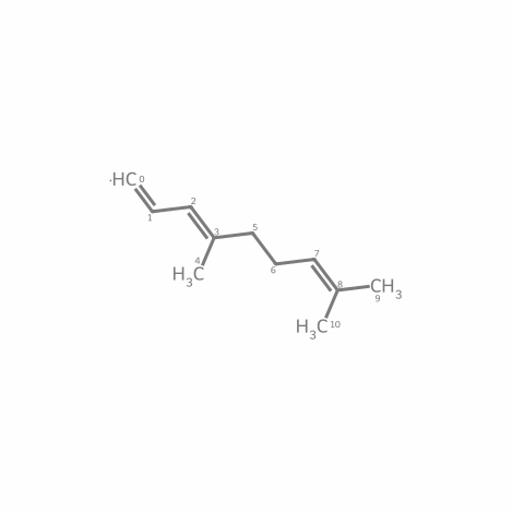 [CH]=C/C=C(\C)CCC=C(C)C